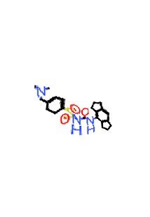 CN(C)CC1=CC=C(S(=O)(=O)NC(=O)Nc2c3c(cc4c2CCC4)CCC3)CC1